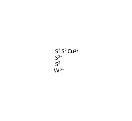 [Cu+2].[S-2].[S-2].[S-2].[S-2].[W+6]